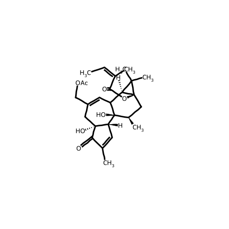 C/C=C(/C)C(=O)O[C@@]12C[C@@H](C)[C@@]3(O)C(C=C(COC(C)=O)C[C@]4(O)C(=O)C(C)=C[C@@H]34)[C@H]1C2(C)C